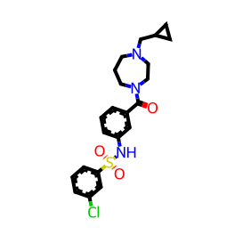 O=C(c1cccc(NS(=O)(=O)c2cccc(Cl)c2)c1)N1CCCN(CC2CC2)CC1